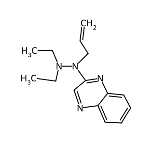 C=CCN(c1cnc2ccccc2n1)N(CC)CC